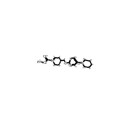 CC(C)OC(=O)N1CCC(COc2ncc(N3CCCCC3)cn2)CC1